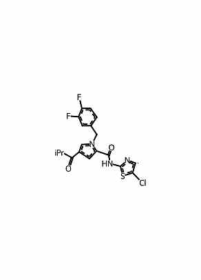 CC(C)C(=O)c1cc(C(=O)Nc2n[c]c(Cl)s2)n(Cc2ccc(F)c(F)c2)c1